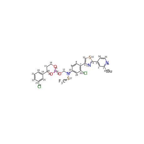 CC(C)(C)c1cc(-c2nc(-c3ccc(N(COP4OCCC(c5cccc(Cl)c5)O4)SC(F)(F)F)cc3Cl)cs2)ccn1